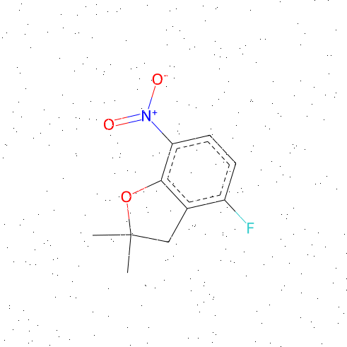 CC1(C)Cc2c(F)ccc([N+](=O)[O-])c2O1